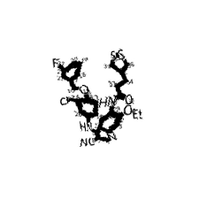 CCOc1cc2ncc(C#N)c(Nc3ccc(OCc4cccc(F)c4)c(Cl)c3)c2cc1NC(=O)CCC1CSSC1